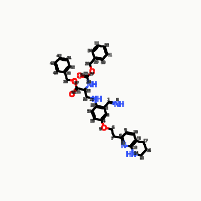 N=Cc1cc(OCCc2ccc3c(n2)NCCC3)ccc1NCC(NC(=O)OCc1ccccc1)C(=O)OCc1ccccc1